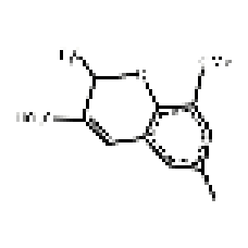 COc1cc(C)cc2c1OC(C(F)(F)F)C(C(=O)O)=C2